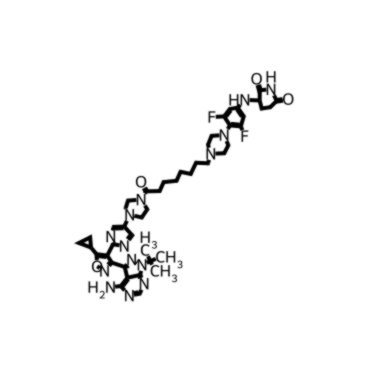 CC(C)(C)n1nc(-c2noc(C3CC3)c2-c2ncc(N3CCN(C(=O)CCCCCCCN4CCN(c5c(F)cc(NC6CCC(=O)NC6=O)cc5F)CC4)CC3)cn2)c2c(N)ncnc21